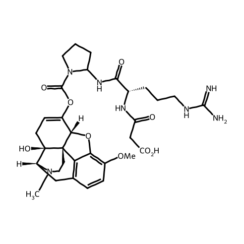 COc1ccc2c3c1O[C@H]1C(OC(=O)N4CCCC4NC(=O)[C@H](CCCNC(=N)N)NC(=O)CC(=O)O)=CC[C@@]4(O)[C@@H](C2)N(C)CC[C@]314